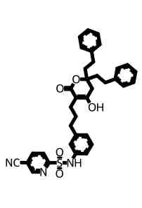 N#Cc1ccc(S(=O)(=O)Nc2cccc(CCCC3=C(O)CC(CCc4ccccc4)(CCc4ccccc4)OC3=O)c2)nc1